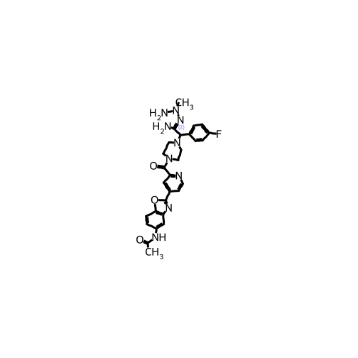 CC(=O)Nc1ccc2oc(-c3ccnc(C(=O)N4CCN(C(/C(N)=N/N(C)N)c5ccc(F)cc5)CC4)c3)nc2c1